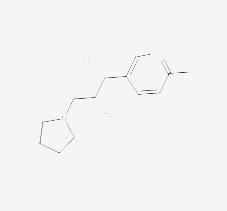 C=C(C)/C=C\C(=C/C)[C@@H](O)[C@H](N)CN1CCCC1